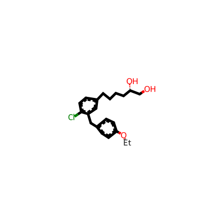 CCOc1ccc(Cc2cc(CCCC[C@H](O)CO)ccc2Cl)cc1